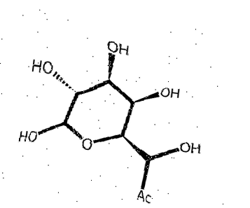 CC(=O)C(O)[C@H]1OC(O)[C@H](O)[C@@H](O)[C@H]1O